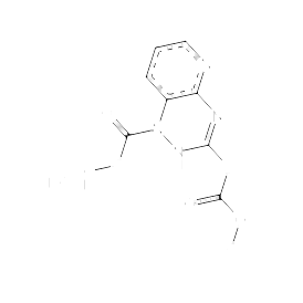 COC(=O)OC1=Nc2ncccc2N(C(=O)OC)N1.Cl